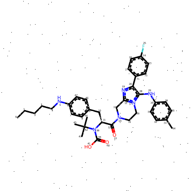 CCCCCNc1ccc(C[C@@H](C(=O)N2CCn3c(nc(-c4ccc(F)cc4)c3Nc3ccc(C)cc3)C2)N(C(=O)O)C(C)(C)C)cc1